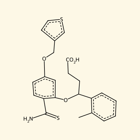 Cc1ccccc1C(CCC(=O)O)Oc1cc(OCc2ccsc2)ccc1C(N)=S